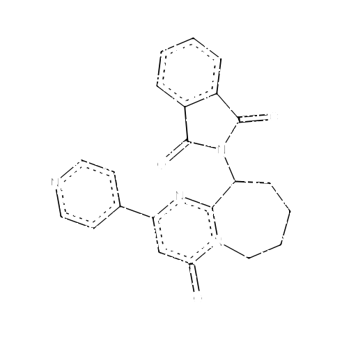 O=C1c2ccccc2C(=O)N1C1CCCCn2c1nc(-c1ccncc1)cc2=O